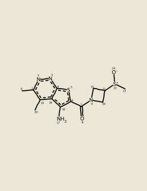 Cc1nnc2sc(C(=O)N3CC([S+](C)[O-])C3)c(N)c2c1C